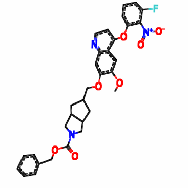 COc1cc2c(Oc3cccc(F)c3[N+](=O)[O-])ccnc2cc1OCC1CC2CN(C(=O)OCc3ccccc3)CC2C1